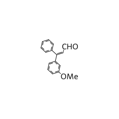 COc1cccc(C(=CC=O)c2ccccc2)c1